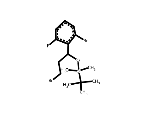 CC(C)(C)[Si](C)(C)OC(CCBr)c1c(F)cccc1Br